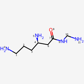 NCCC[C@@H](N)CC(=O)NCN